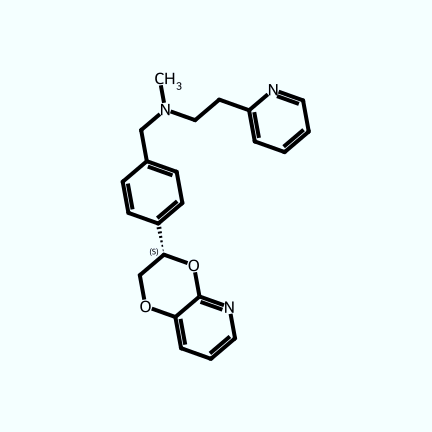 CN(CCc1ccccn1)Cc1ccc([C@H]2COc3cccnc3O2)cc1